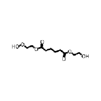 O=C(CCCCC(=O)OCCOO)OCCO